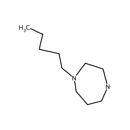 CCCCCN1CCC[N]CC1